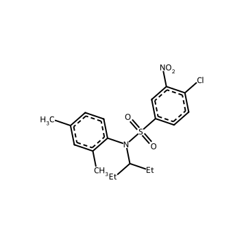 CCC(CC)N(c1ccc(C)cc1C)S(=O)(=O)c1ccc(Cl)c([N+](=O)[O-])c1